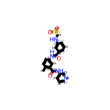 Cc1ccc(NC(=O)c2cccc(NC[SH](=O)=O)c2)cc1C(=O)Nc1cccnc1